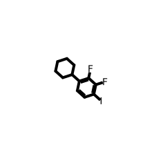 Fc1c(I)ccc(C2CCCCC2)c1F